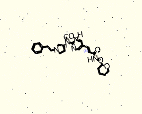 O=C(/C=C/c1cnc(N(C(=O)O)[C@@H]2CCN(CCc3ccccc3)C2)nc1)NOC1CCCCO1